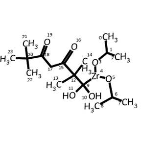 CC(C)[O][Zr]([O]C(C)C)[C](O)(O)C(C)(C)C(=O)CC(=O)C(C)(C)C